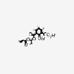 C=CC(=O)OC(C)OC(=O)c1cccc(C(=O)O)c1O